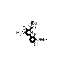 CCC(C)OC(=O)c1nc(-c2ccc(Cl)c(OC)c2F)cc(N)c1Cl